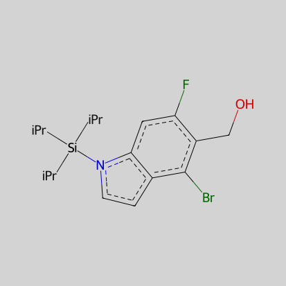 CC(C)[Si](C(C)C)(C(C)C)n1ccc2c(Br)c(CO)c(F)cc21